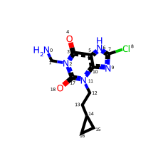 NCn1c(=O)c2[nH]c(Cl)nc2n(CCC2CC2)c1=O